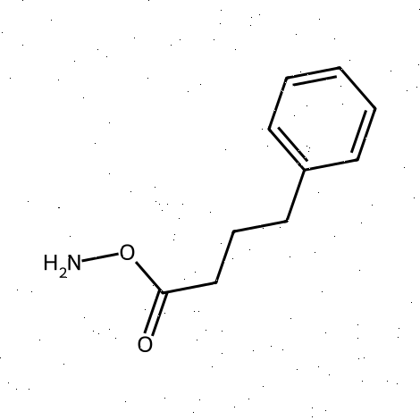 NOC(=O)CCCc1ccccc1